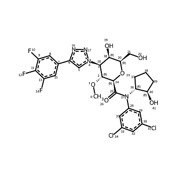 CO[C@@H]1[C@@H](n2cc(-c3cc(F)c(F)c(F)c3)nn2)[C@@H](O)[C@@H](CO)O[C@H]1C(=O)N(c1cc(Cl)cc(Cl)c1)[C@@H]1CCC[C@H]1O